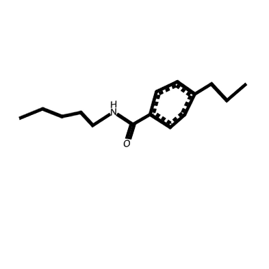 CCCCCNC(=O)c1ccc(CCC)cc1